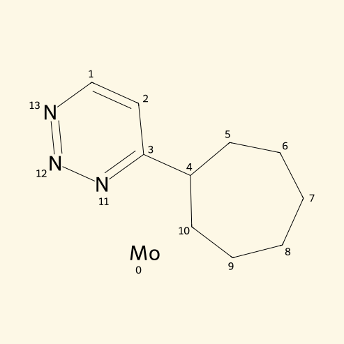 [Mo].c1cc(C2CCCCCC2)nnn1